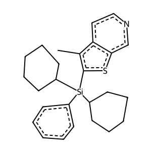 Cc1c([Si](c2ccccc2)(C2CCCCC2)C2CCCCC2)sc2cnccc12